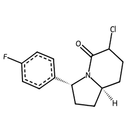 O=C1C(Cl)CC[C@H]2CC[C@H](c3ccc(F)cc3)N12